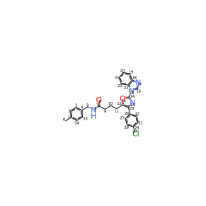 Cc1ccc(CNC(=O)CCCc2oc(-n3cnc4ccccc43)nc2-c2ccc(Cl)cc2)cc1